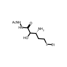 CCSCC[C@@H](N)C(O)C(=O)NNC(C)=O